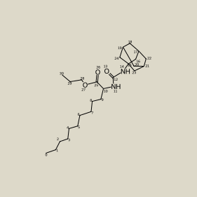 CCCCCCCCCCC(NC(=O)NC12CC3CC(CC(C3)C1)C2)C(=O)OCCC